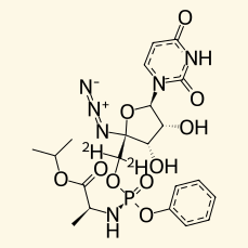 [2H]C([2H])(O[P@@](=O)(N[C@@H](C)C(=O)OC(C)C)Oc1ccccc1)[C@@]1(N=[N+]=[N-])O[C@@H](n2ccc(=O)[nH]c2=O)[C@H](O)[C@@H]1O